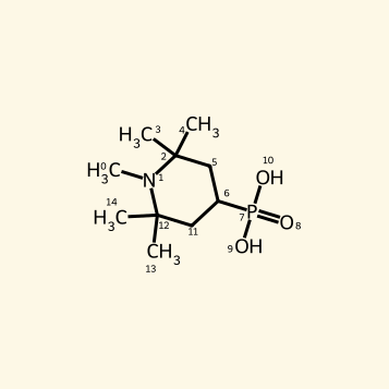 CN1C(C)(C)CC(P(=O)(O)O)CC1(C)C